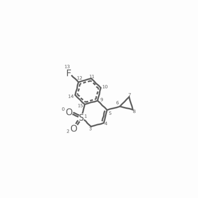 O=S1(=O)CC=C(C2CC2)c2ccc(F)cc21